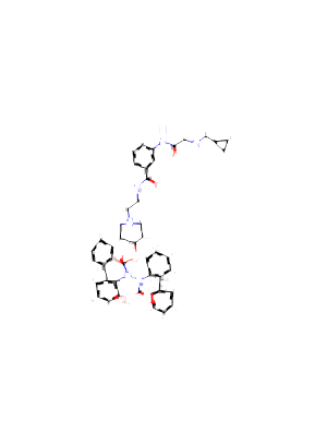 O=C(CNCC1CC1)Nc1cccc(C(=O)NCCN2CCC(OC(=O)N(c3ccccc3-c3ccccc3)N(C(=O)O)c3ccccc3-c3ccccc3)CC2)c1